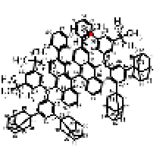 CC(C)(C)c1cc(N(c2cc(C34CC5CC(CC(C5)C3)C4)cc(C34CC5CC(CC(C5)C3)C4)c2)c2c3ccccc3c(-c3c4ccccc4c(N(c4cc(C(C)(C)C)cc(C(C)(C)C)c4)c4cc(C56CC7CC(CC(C7)C5)C6)cc(C56CC7CC(CC(C7)C5)C6)c4)c4cc(-c5ccccc5)ccc34)c3cc(-c4ccccc4)ccc23)cc(C(C)(C)C)c1